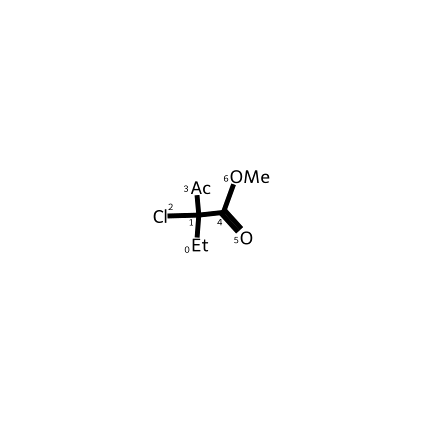 CCC(Cl)(C(C)=O)C(=O)OC